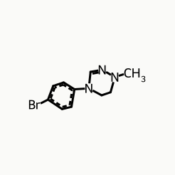 CN1CCN(c2ccc(Br)cc2)C=N1